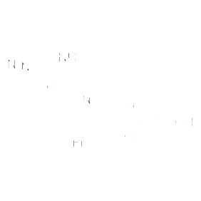 C[N+]1(CC(=O)Nc2cccnn2)CC[C@@H](OC(=O)C(O)(c2ccccc2)c2ccccc2)C1.[Br-]